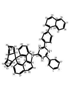 c1ccc(-c2nc(-c3ccc(-c4cccc5ccccc45)cc3)nc(-n3c4cccc5c4c4c6c(cccc6ccc43)C53c4ccccc4-c4ccccc43)n2)cc1